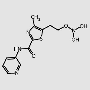 Cc1nc(C(=O)Nc2cccnc2)sc1CCON(O)O